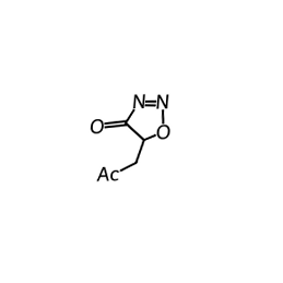 CC(=O)CC1ON=NC1=O